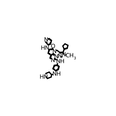 Cn1cnc(Cn2c(=O)c(Nc3cccnc3)cc3cnc(Nc4ccc(NC5CCNCC5)cc4)nc32)c1C1=CCCC1